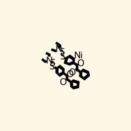 CCN(CC)SSc1ccc(C(=O)C(=O)c2ccccc2)cc1.CCN(CC)SSc1ccc(C(=O)C(=O)c2ccccc2)cc1.[Ni]